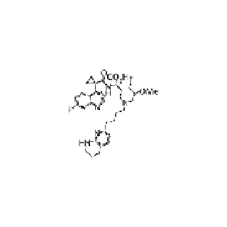 COC(CF)CN(CCCCc1ccc2c(n1)NCCC2)CCC(NC(=O)C1(c2ncnc3cc(F)ccc23)CC1)C(=O)O